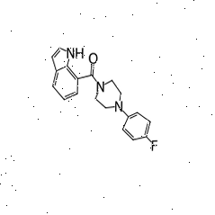 O=C(c1cccc2cc[nH]c12)N1CCN(c2ccc(F)cc2)CC1